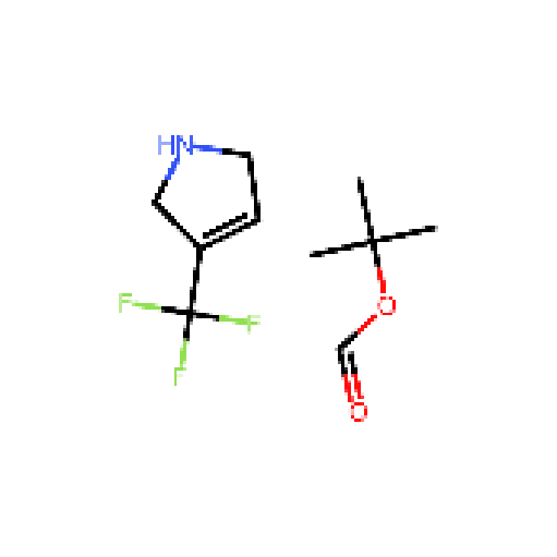 CC(C)(C)OC=O.FC(F)(F)C1=CCNC1